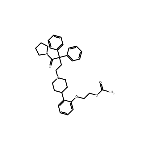 CC(=O)OCCOc1ccccc1C1CCN(CCC(C(=O)N2CCCC2)(c2ccccc2)c2ccccc2)CC1